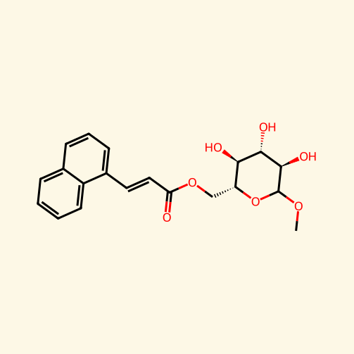 COC1O[C@H](COC(=O)/C=C/c2cccc3ccccc23)[C@@H](O)[C@H](O)[C@H]1O